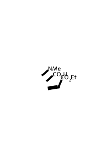 C=CC(=O)OCC.CC(=O)O.CNC